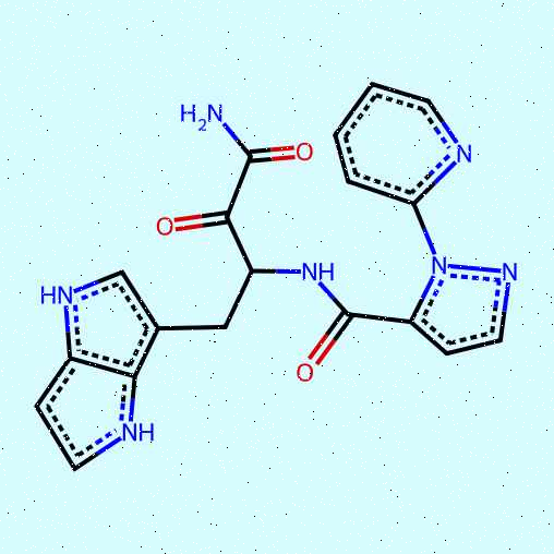 NC(=O)C(=O)C(Cc1c[nH]c2cc[nH]c12)NC(=O)c1ccnn1-c1ccccn1